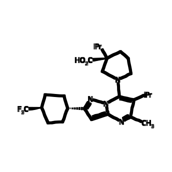 Cc1nc2cc([C@H]3CC[C@H](C(F)(F)F)CC3)nn2c(N2CCC[C@@](C(=O)O)(C(C)C)C2)c1C(C)C